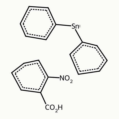 O=C(O)c1ccccc1[N+](=O)[O-].c1cc[c]([Sn][c]2ccccc2)cc1